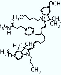 CCCCC[N+]1=C(/C=C/C2=C(c3ccc(CCC(=O)NC)cc3)C(=C/C=C3/N(CCCC)c4ccc(OC)cc4C3(C)C)/CCC2)C(C)(C)c2cc(OC)ccc21